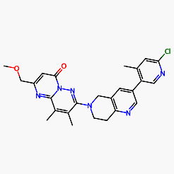 COCc1cc(=O)n2nc(N3CCc4ncc(-c5cnc(Cl)cc5C)cc4C3)c(C)c(C)c2n1